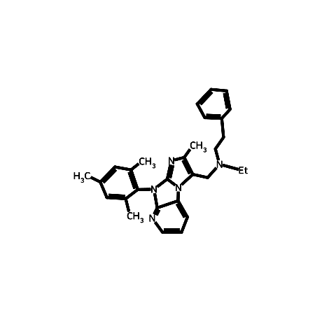 CCN(CCc1ccccc1)Cc1c(C)nc2n(-c3c(C)cc(C)cc3C)c3ncccc3n12